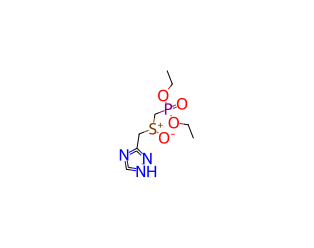 CCOP(=O)(C[S+]([O-])Cc1nc[nH]n1)OCC